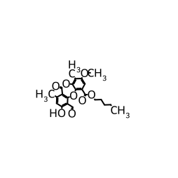 CCCCCOC(=O)c1cc(OC)c(C)c2c1Oc1c(C=O)c(O)cc(C)c1C(=O)O2